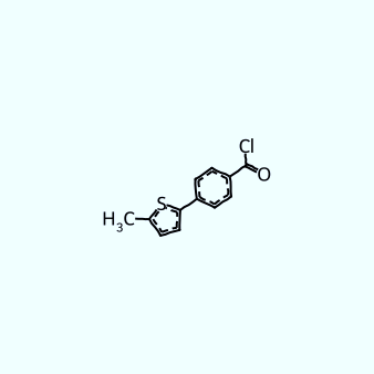 Cc1ccc(-c2ccc(C(=O)Cl)cc2)s1